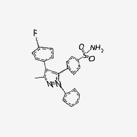 Cc1nn(-c2ccccc2)c(-c2ccc(S(N)(=O)=O)cc2)c1-c1ccc(F)cc1